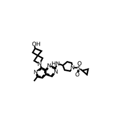 Cc1cc2cnc(NC3CCN(S(=O)(=O)C4CC4)CC3)nc2c(N2CC3(CC(O)C3)C2)n1